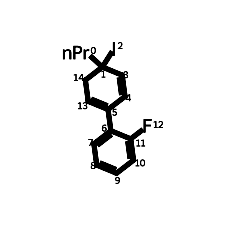 CCCC1(I)C=CC(c2ccccc2F)=CC1